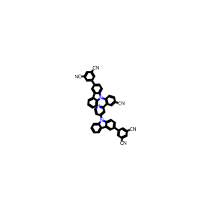 N#Cc1cc(C#N)cc(-c2ccc3c(c2)c2ccccc2n3-c2ccnc(-c3cc(C#N)ccc3-n3c4ccccc4c4cc(-c5cc(C#N)cc(C#N)c5)ccc43)c2)c1